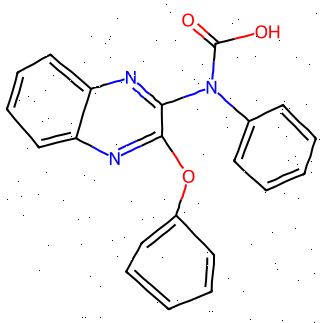 O=C(O)N(c1ccccc1)c1nc2ccccc2nc1Oc1ccccc1